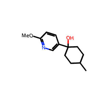 COc1ccc(C2(O)CCC(C)CC2)cn1